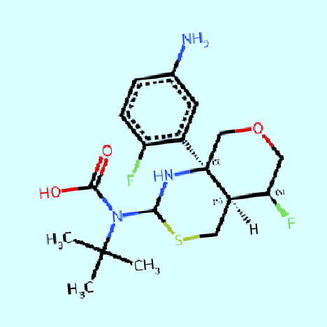 CC(C)(C)N(C(=O)O)C1N[C@@]2(c3cc(N)ccc3F)COC[C@@H](F)[C@H]2CS1